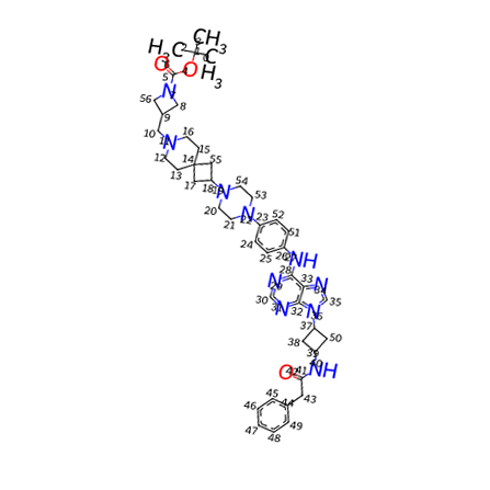 CC(C)(C)OC(=O)N1CC(CN2CCC3(CC2)CC(N2CCN(c4ccc(Nc5ncnc6c5ncn6C5CC(NC(=O)Cc6ccccc6)C5)cc4)CC2)C3)C1